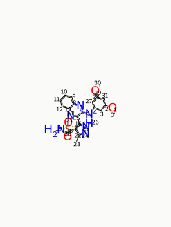 COc1cc(Nc2nc3ccccc3nc2-c2c(S(N)(=O)=O)c(C)nn2C)cc(OC)c1